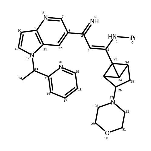 CC(C)N/C(=C\C(=N)c1cnc2ccn(C(C)c3ccccn3)c2c1)C12C3CC(N4CCOCC4)C1C32